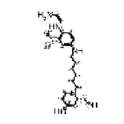 N/C=C\Nc1ccc(NCCCCCCN2CC[C@@H](O)C[C@H]2CO)cc1[N+](=O)[O-]